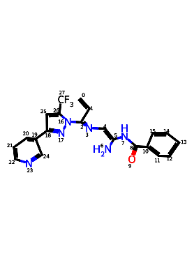 C=C/C(=N\C=C(/N)NC(=O)c1ccccc1)n1nc(-c2cccnc2)cc1C(F)(F)F